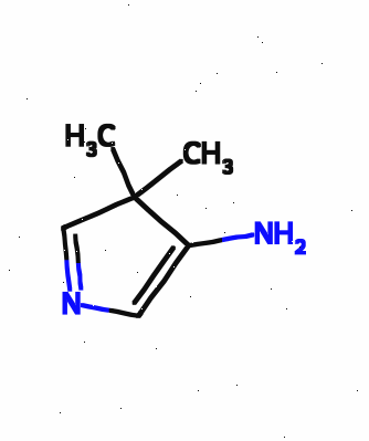 CC1(C)C=NC=C1N